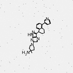 CC1(N)CCN(c2cnc3c(C4CCCc5c(-c6cccnc6)cccc54)n[nH]c3n2)CC1